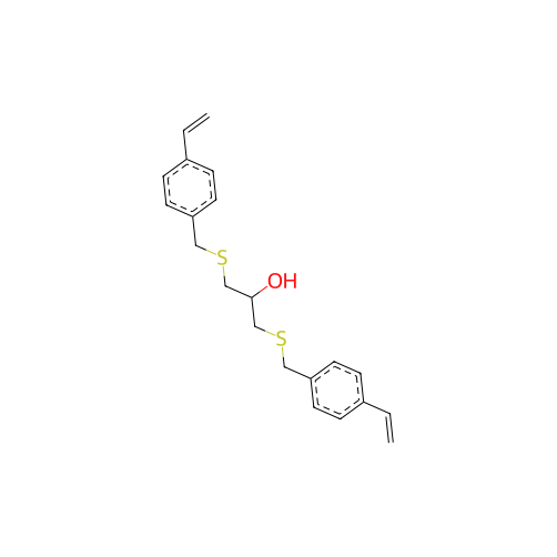 C=Cc1ccc(CSCC(O)CSCc2ccc(C=C)cc2)cc1